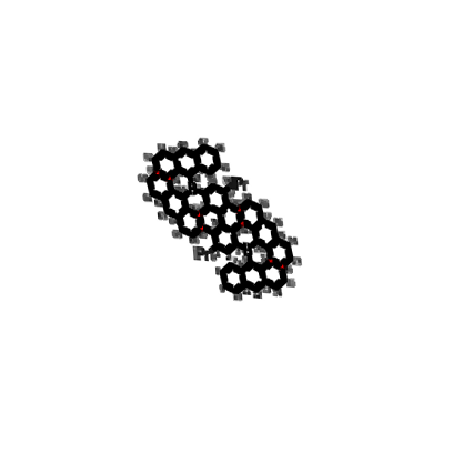 CC(C)c1cc(B(c2c3ccccc3cc3ccccc23)c2c3ccccc3cc3ccccc23)c2ccc3c(C(C)C)cc(B(c4c5ccccc5cc5ccccc45)c4c5ccccc5cc5ccccc45)c4ccc1c2c43